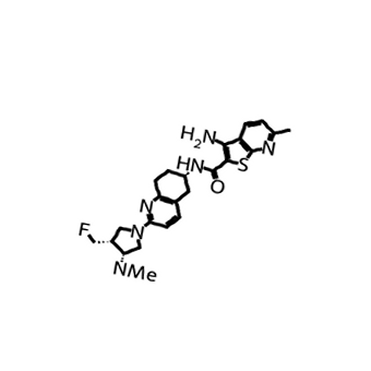 CN[C@H]1CN(c2ccc3c(n2)CC[C@H](NC(=O)c2sc4nc(C)ccc4c2N)C3)C[C@H]1CF